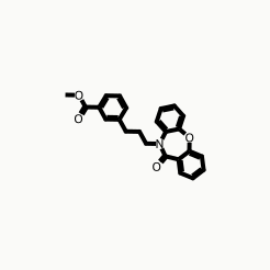 COC(=O)c1cccc(CCCN2C(=O)c3ccccc3Oc3ccccc32)c1